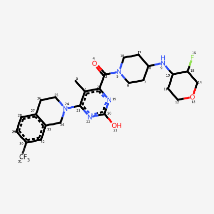 Cc1c(C(=O)N2CCC(NC3CCOCC3F)CC2)nc(O)nc1N1CCc2ccc(C(F)(F)F)cc2C1